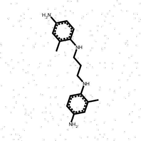 Cc1cc(N)ccc1NCCCNc1ccc(N)cc1C